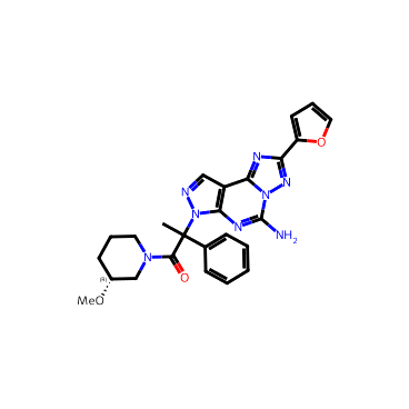 CO[C@@H]1CCCN(C(=O)C(C)(c2ccccc2)n2ncc3c2nc(N)n2nc(-c4ccco4)nc32)C1